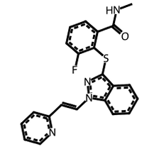 CNC(=O)c1cccc(F)c1Sc1nn(C=Cc2ccccn2)c2ccccc12